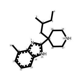 CCC(C)CC1(c2nc3c(C)cccc3[nH]2)CCNCC1